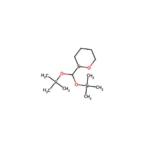 C[Si](C)(C)OC(O[Si](C)(C)C)[Si]1CCCCO1